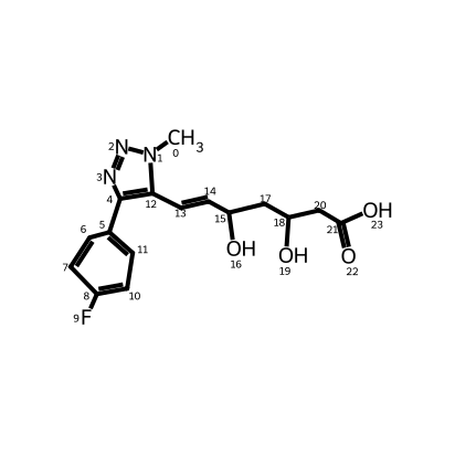 Cn1nnc(-c2ccc(F)cc2)c1C=CC(O)CC(O)CC(=O)O